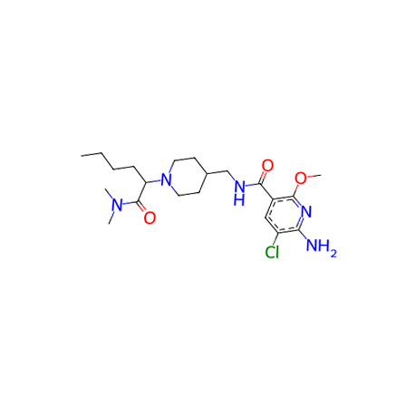 CCCCC(C(=O)N(C)C)N1CCC(CNC(=O)c2cc(Cl)c(N)nc2OC)CC1